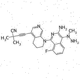 CN(N)c1c(N)nc(N2CCCc3c(C#CC(C)(C)C#N)cncc32)c2c(F)cccc12